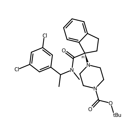 CC(c1cc(Cl)cc(Cl)c1)N(C)C(=O)[C@@]1(N2CCN(C(=O)OC(C)(C)C)CC2)CCc2ccccc21